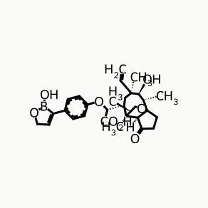 C=C[C@]1(C)C[C@@H](C(Oc2ccc(C3=CCOB3O)cc2)C(=O)O)[C@@]2(C)[C@H](C)CC[C@]3(CCC(=O)[C@H]32)[C@@H](C)[C@@H]1O